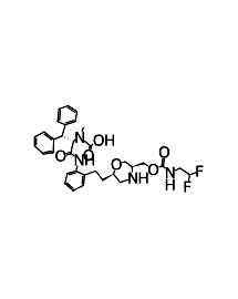 CN(C(=O)O)[C@H](C(=O)Nc1ccccc1CC[C@@H]1CN[C@H](COC(=O)NCC(F)F)CO1)C(c1ccccc1)c1ccccc1